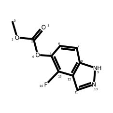 COC(=O)Oc1ccc2[nH]ncc2c1F